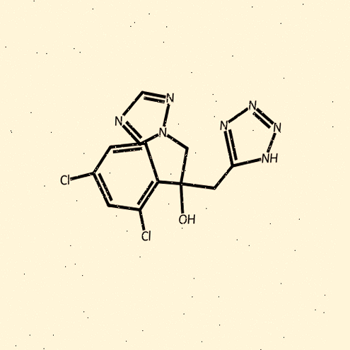 OC(Cc1nnn[nH]1)(Cn1cncn1)c1ccc(Cl)cc1Cl